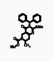 CSc1nc2c(c(=O)n1C(c1ccccc1)c1ccccc1)CN(C(=O)OC(C)(C)C)C(C)C2